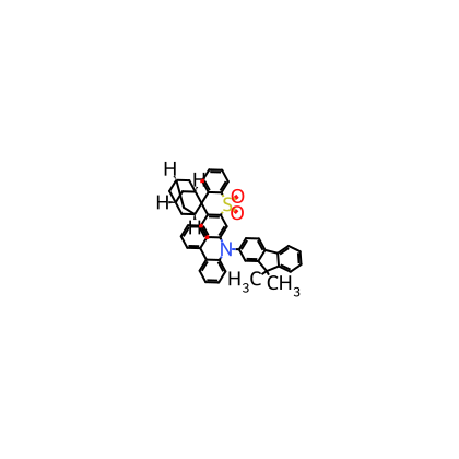 CC1(C)c2ccccc2-c2ccc(N(c3ccc4c(c3)S(=O)(=O)c3ccccc3C43[C@H]4C[C@H]5C[C@H](C[C@H]3C5)C4)c3ccccc3-c3ccccc3)cc21